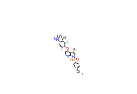 Cc1ccc(S(=O)(=O)n2cc(Br)c3c(Oc4c(F)cc(NC(=O)O)cc4F)ccnc32)cc1